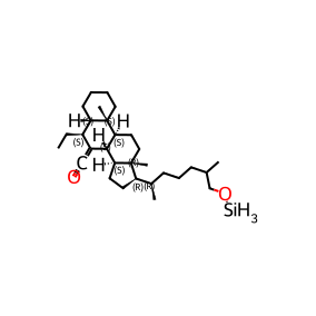 CC[C@@H]1C(=C=O)[C@@H]2[C@H](CC[C@]3(C)[C@@H]([C@H](C)CCCC(C)CO[SiH3])CC[C@@H]23)[C@@]2(C)CCCC[C@@H]12